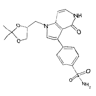 CC1(C)OCC(Cn2cc(-c3ccc(S(N)(=O)=O)cc3)c3c(=O)[nH]ccc32)O1